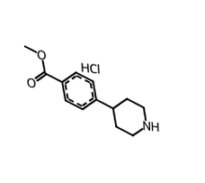 COC(=O)c1ccc(C2CCNCC2)cc1.Cl